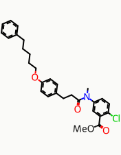 COC(=O)c1cc(N(C)C(=O)CCc2ccc(OCCCCCc3ccccc3)cc2)ccc1Cl